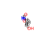 COc1ccc2nnn(CC(=O)[C@H]3[C@H]4CCC[C@H]4C4C5CCC6C[C@](C)(O)CC[C@@H]6[C@H]5CC[C@@]43C)c2c1